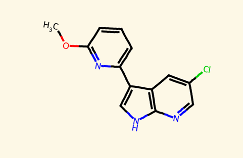 COc1cccc(-c2c[nH]c3ncc(Cl)cc23)n1